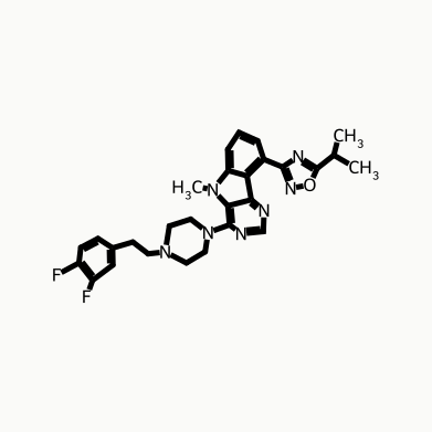 CC(C)c1nc(-c2cccc3c2c2ncnc(N4CCN(CCc5ccc(F)c(F)c5)CC4)c2n3C)no1